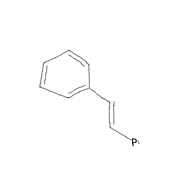 [P]C=Cc1ccccc1